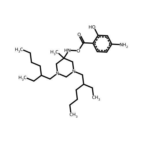 CCCCC(CC)CN1CN(CC(CC)CCCC)CC(C)(NOC(=O)c2ccc(N)cc2O)C1